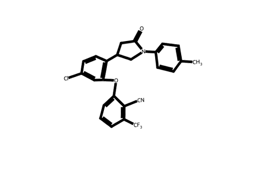 Cc1ccc(N2CC(c3ccc(Cl)cc3Oc3cccc(C(F)(F)F)c3C#N)CC2=O)cc1